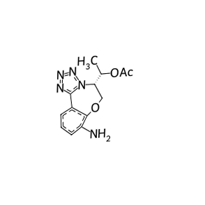 CC(=O)OC(C)[C@@H]1COc2c(N)cccc2-c2nnnn21